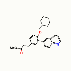 COC(=O)CCc1ccc(OCC2CCCCC2)c(-c2ccc3ncccc3c2)c1